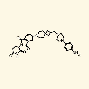 Nc1ccc(N2CCN(CC3CC4(CCN(c5ccc6c(c5)C(=O)N(C5CCC(=O)NC5=O)C6=O)CC4)C3)CC2)cc1